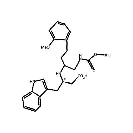 COc1ccccc1CCC(CNC(=O)OC(C)(C)C)N[C@@H](CC(=O)O)Cc1c[nH]c2ccccc12